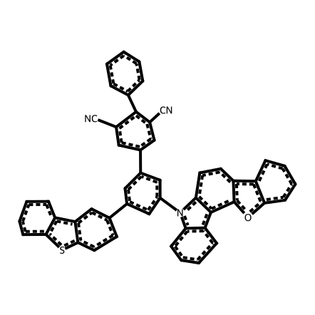 N#Cc1cc(-c2cc(-c3ccc4sc5ccccc5c4c3)cc(-n3c4ccccc4c4c5oc6ccccc6c5ccc43)c2)cc(C#N)c1-c1ccccc1